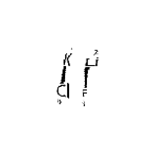 [Cl][K].[Li][F]